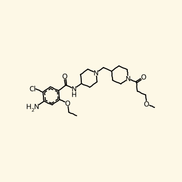 CCOc1cc(N)c(Cl)cc1C(=O)NC1CCN(CC2CCN(C(=O)CCOC)CC2)CC1